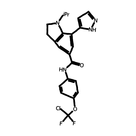 CC(C)N1CCc2cc(C(=O)Nc3ccc(OC(F)(F)Cl)cc3)cc(-c3ccn[nH]3)c21